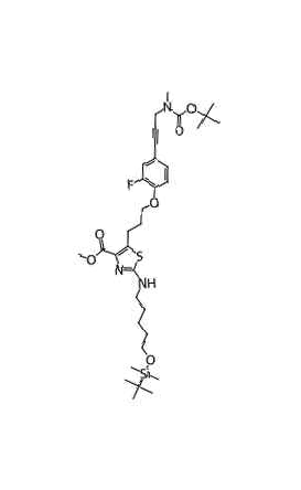 COC(=O)c1nc(NCCCCCO[Si](C)(C)C(C)(C)C)sc1CCCOc1ccc(C#CCN(C)C(=O)OC(C)(C)C)cc1F